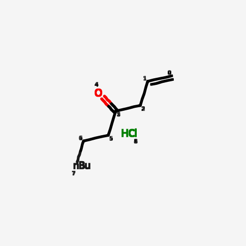 C=CCC(=O)CCCCCC.Cl